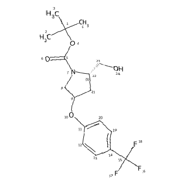 CC(C)(C)OC(=O)N1CC(Oc2ccc(C(F)(F)F)cc2)C[C@H]1CO